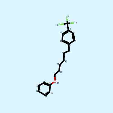 FC(F)(F)c1ccc(CCCCCCOc2cc[c]cc2)cc1